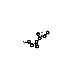 N#Cc1cccc(-c2cccc(-n3c4ccccc4c4cc(-c5ccc(Nc6cccc(-c7ccccc7)c6)c(-c6ccccc6)c5)ccc43)c2)c1